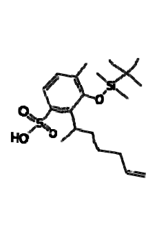 C=CCCCC(C)c1c(S(=O)(=O)O)ccc(C)c1O[Si](C)(C)C(C)(C)C